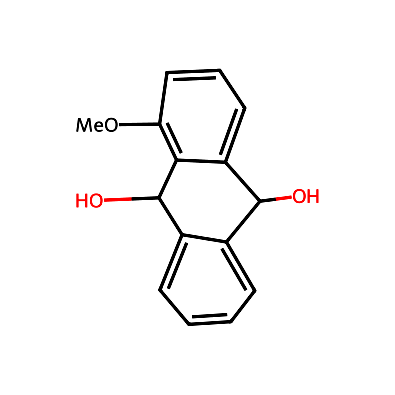 COc1cccc2c1C(O)c1ccccc1C2O